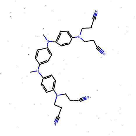 CN(c1ccc(N(CCC#N)CCC#N)cc1)c1ccc(N(C)c2ccc(N(CCC#N)CCC#N)cc2)cc1